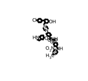 CN1CCN(Nc2ccc(S(=O)(=O)NC(=O)c3ccc(N4CCN(CC5=C(c6ccc(Cl)cc6)CCC(O)C5)CC4)cc3Oc3ccc4[nH]ccc4c3)cc2[N+](=O)[O-])CC1